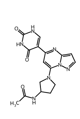 CC(=O)NC1CCN(c2cc(-c3c[nH]c(=O)[nH]c3=O)nc3ccnn23)C1